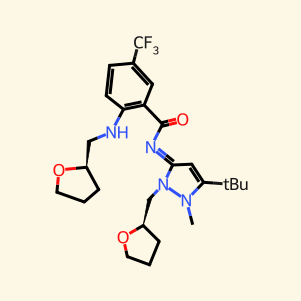 Cn1c(C(C)(C)C)c/c(=N\C(=O)c2cc(C(F)(F)F)ccc2NC[C@H]2CCCO2)n1C[C@H]1CCCO1